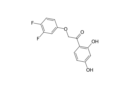 O=C(COc1ccc(F)c(F)c1)c1ccc(O)cc1O